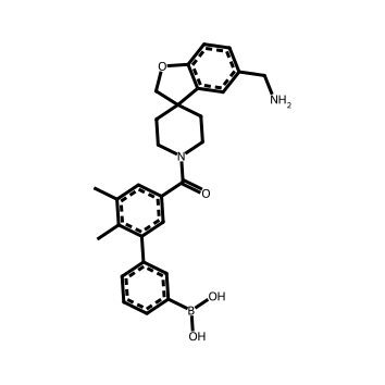 Cc1cc(C(=O)N2CCC3(CC2)COc2ccc(CN)cc23)cc(-c2cccc(B(O)O)c2)c1C